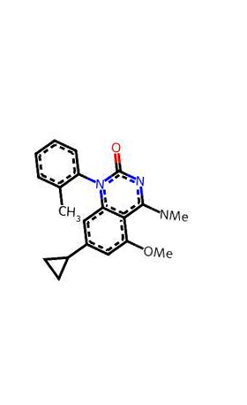 CNc1nc(=O)n(-c2ccccc2C)c2cc(C3CC3)cc(OC)c12